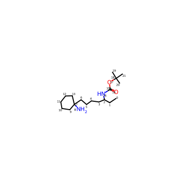 CCC(CCCCC1(N)CCCCC1)NC(=O)OC(C)(C)C